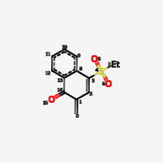 C=C1C=C(S(=O)(=O)CC)c2ccccc2C1=O